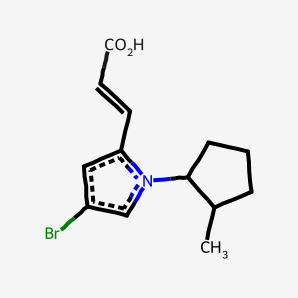 CC1CCCC1n1cc(Br)cc1C=CC(=O)O